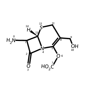 NC1C(=O)N2C(OC(=O)O)=C(CO)CS[C@@H]12